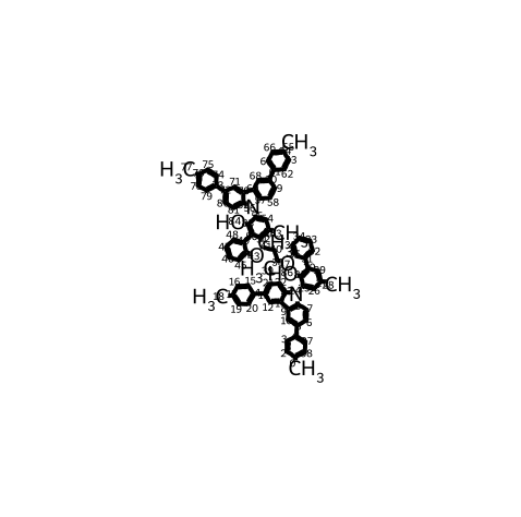 Cc1ccc(-c2ccc3c(c2)c2cc(-c4ccc(C)cc4)ccc2n3-c2cc(C)cc(-c3ccccc3OC(C)C[C@@H](C)Oc3ccccc3-c3cc(C)cc(-n4c5ccc(-c6ccc(C)cc6)cc5c5cc(-c6ccc(C)cc6)ccc54)c3O)c2O)cc1